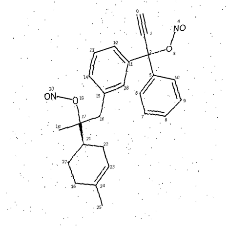 C#CC(ON=O)(c1ccccc1)c1cccc(CC(C)(ON=O)[C@H]2CC=C(C)CC2)c1